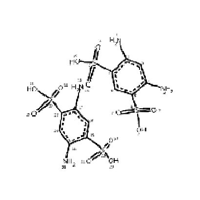 Nc1cc(N)c(S(=O)(=O)O)cc1S(=O)(=O)O.Nc1cc(S(=O)(=O)O)c(N)cc1S(=O)(=O)O